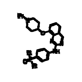 CCP(=O)(CC)c1ccc(Nc2ncc3cccc(OC4CCN(C(C)C)CC4)c3n2)cc1